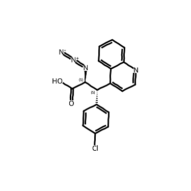 [N-]=[N+]=N[C@H](C(=O)O)[C@@H](c1ccc(Cl)cc1)c1ccnc2ccccc12